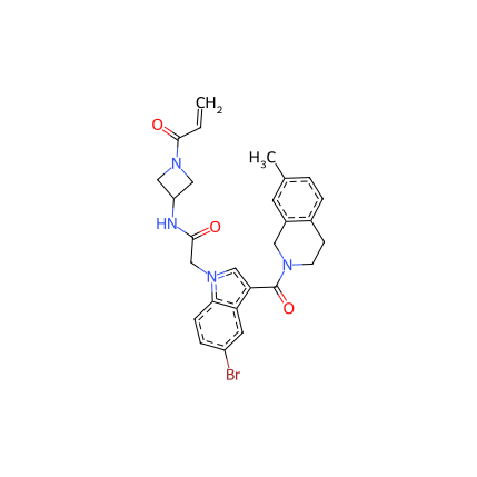 C=CC(=O)N1CC(NC(=O)Cn2cc(C(=O)N3CCc4ccc(C)cc4C3)c3cc(Br)ccc32)C1